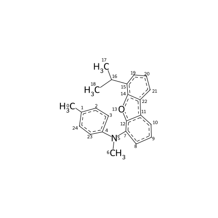 Cc1ccc(N(C)c2cccc3c2oc2c(C(C)C)cccc23)cc1